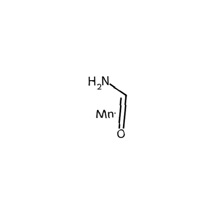 NC=O.[Mn]